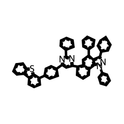 c1ccc(-c2nc(-c3ccc(-c4cccc5c4sc4ccccc45)cc3)cc(-c3cccc4c3cc(-c3ccccc3)c3c(-c5ccccc5)nn(-c5ccccc5)c34)n2)cc1